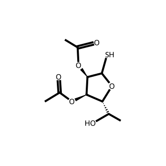 CC(=O)O[C@@H]1[C@@H](C(C)O)OC(S)[C@@H]1OC(C)=O